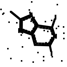 Cc1nc2cc(I)nc(I)c2s1